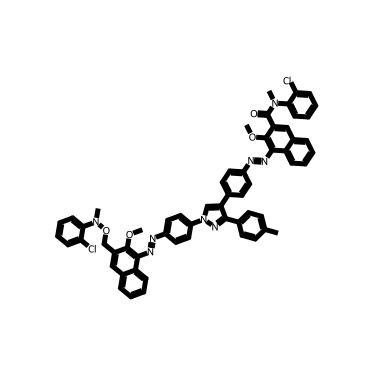 COc1c(CON(C)c2ccccc2Cl)cc2ccccc2c1N=Nc1ccc(-n2cc(-c3ccc(N=Nc4c(OC)c(C(=O)N(C)c5ccccc5Cl)cc5ccccc45)cc3)c(-c3ccc(C)cc3)n2)cc1